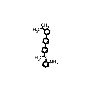 C=C(C)c1cccc(-c2ccc(-c3ccc(C(=C)Sc4ccccc4N)cc3)cc2)c1